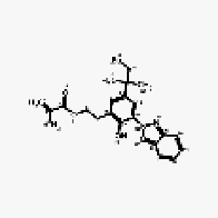 C=C(C)C(=O)OCCc1cc(C(C)(C)CC(C)(C)C)cc(-n2nc3ccccc3n2)c1O